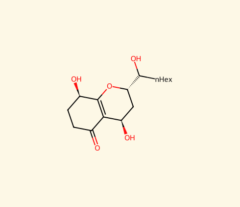 CCCCCCC(O)[C@@H]1C[C@@H](O)C2=C(O1)[C@H](O)CCC2=O